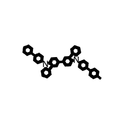 Cc1ccc(-c2ccc(-n3c4ccccc4c4cc(-c5ccc6c(c5)c5ccccc5n6-c5ccc(-c6ccccc6)cc5)ccc43)cc2)cc1